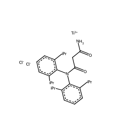 CC(C)c1cccc(C(C)C)c1N(C(=O)CC(N)=O)c1c(C(C)C)cccc1C(C)C.[Cl-].[Cl-].[Ti+2]